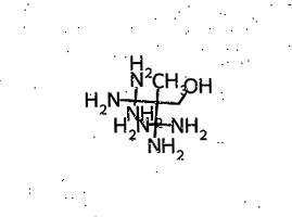 CC(CO)(C(N)(N)N)C(N)(N)N